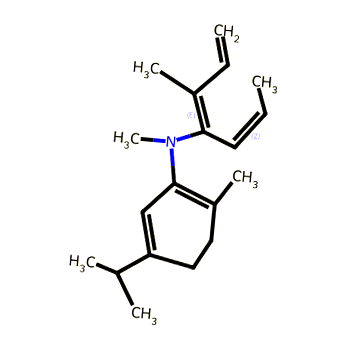 C=C/C(C)=C(\C=C/C)N(C)C1=C(C)CCC(C(C)C)=C1